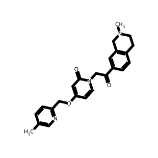 Cc1ccc(COc2ccn(CC(=O)c3ccc4c(c3)CN(C)CC4)c(=O)c2)nc1